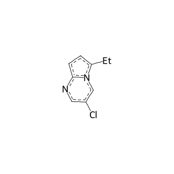 CCc1ccc2ncc(Cl)cn12